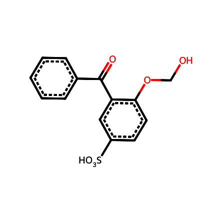 O=C(c1ccccc1)c1cc(S(=O)(=O)O)ccc1OCO